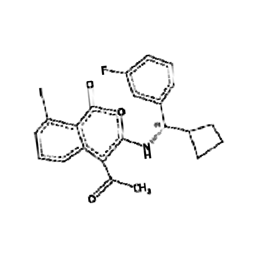 CC(=O)c1c(N[C@H](c2cccc(F)c2)C2CCC2)oc(=O)c2c(I)cccc12